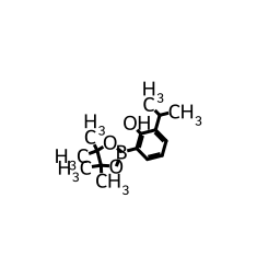 CC(C)c1cccc(B2OC(C)(C)C(C)(C)O2)c1O